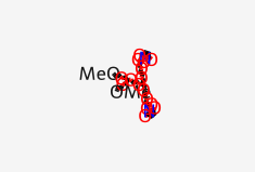 COCCOCC(COCCOC)OCCOC(COCCOCC(=O)ON1C(=O)CCC1=O)COCCOCC(=O)ON1C(=O)CCC1=O